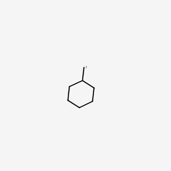 [CH]C1CCCCC1